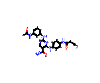 CC(=O)Nc1cccc(Nc2ncc(C(N)=O)c(Nc3ccc(NC(=O)CC#N)cc3)n2)c1